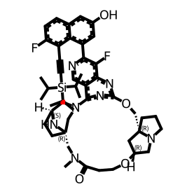 CC(C)[Si](C#Cc1c(F)ccc2cc(O)cc(-c3ncc4c5nc(nc4c3F)OC[C@]34CCCN3C[C@@H](C4)OCCC(=O)N(C)C[C@@]34CC[C@@H](CN5C3)N4)c12)(C(C)C)C(C)C